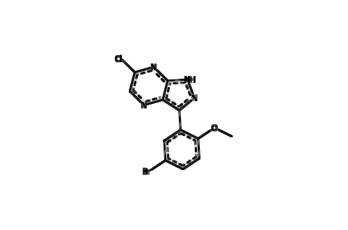 COc1ccc(Br)cc1-c1n[nH]c2nc(Cl)cnc12